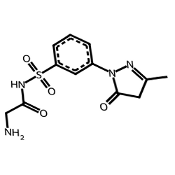 CC1=NN(c2cccc(S(=O)(=O)NC(=O)CN)c2)C(=O)C1